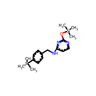 C[Si](C)(C)Oc1nccc(NCc2ccc([Si](C)(C)C)cc2)n1